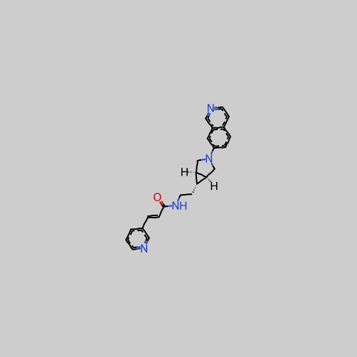 O=C(/C=C/c1cccnc1)NCC[C@@H]1[C@H]2CN(c3ccc4ccncc4c3)C[C@@H]12